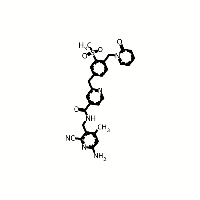 Cc1cc(N)nc(C#N)c1CNC(=O)c1ccnc(Cc2ccc(Cn3ccccc3=O)c(S(C)(=O)=O)c2)c1